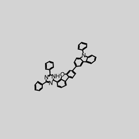 c1ccc(C2=NC(c3cccc4c3oc3cc(-c5ccc6c(c5)c5ccccc5n6-c5ccccc5)ccc34)NC(c3ccccc3)=N2)cc1